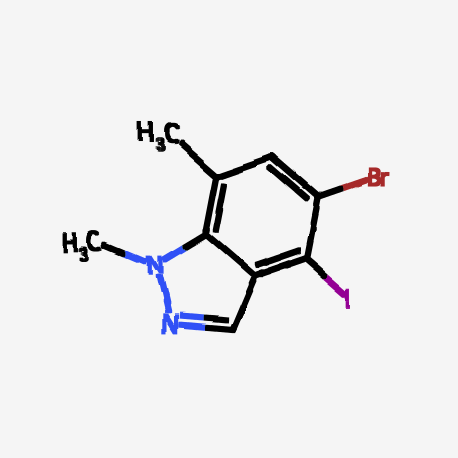 Cc1cc(Br)c(I)c2cnn(C)c12